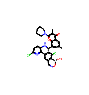 Cc1cc([C@@H](C)Nc2ccc(Cl)nc2-c2cc(Cl)c3c(c2)C=NOB3O)c2oc(N3CCCCC3)c(C)c(=O)c2c1